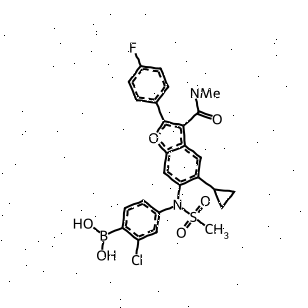 CNC(=O)c1c(-c2ccc(F)cc2)oc2cc(N(c3ccc(B(O)O)c(Cl)c3)S(C)(=O)=O)c(C3CC3)cc12